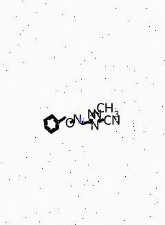 Cn1nc(/C=N/OCc2ccccc2)nc1C#N